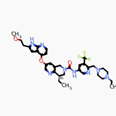 CC[C@@H]1CN(C(=O)Nc2cnc(CN3CCN(CC)CC3)c(C(F)(F)F)c2)Cc2cc(Oc3ccnc4[nH]c(CCOC)cc34)cnc21